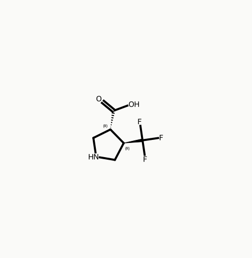 O=C(O)[C@H]1CNC[C@@H]1C(F)(F)F